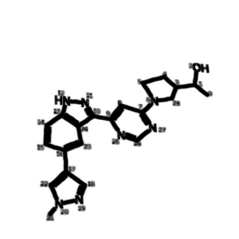 CC(O)C1CCN(c2cc(-c3n[nH]c4ccc(-c5cnn(C)c5)cc34)ncn2)C1